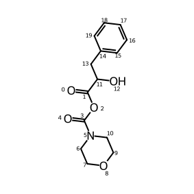 O=C(OC(=O)N1CCOCC1)C(O)Cc1ccccc1